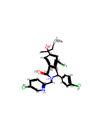 COCC(C)(O)c1cc(F)c2c(c1)C(=O)N(Cc1ccc(Cl)cn1)C2c1ccc(Cl)cc1